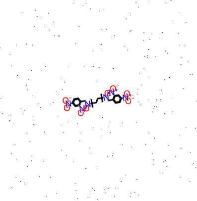 CC(C)(CCC(C)(C)N=Cc1ccc([N+](=O)[O-])cc1[N+](=O)[O-])N=Cc1ccc([N+](=O)[O-])cc1[N+](=O)[O-]